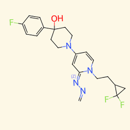 C=N/N=c1/cc(N2CCC(O)(c3ccc(F)cc3)CC2)ccn1CCC1CC1(F)F